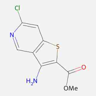 COC(=O)c1sc2cc(Cl)ncc2c1N